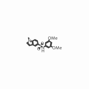 COc1cc(NS(=O)(=O)c2ccc3c(ccn3C)c2)cc(OC)c1